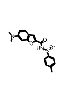 Cc1ccc([S+]([O-])NC(=O)c2cc3ccc(N(C)C)cc3o2)cc1